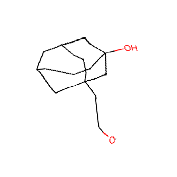 [O]CCC12CC3CC(CC(O)(C3)C1)C2